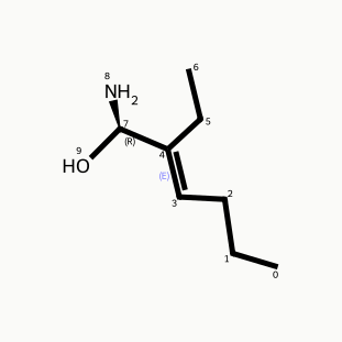 CCC/C=C(\CC)[C@H](N)O